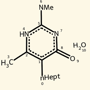 CCCCCCCc1c(C)[nH]c(NC)nc1=O.O